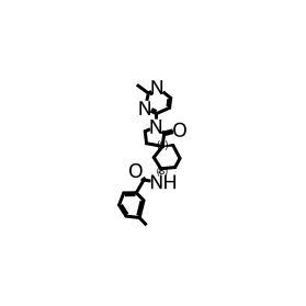 Cc1cccc(C(=O)N[C@H]2CCC[C@]3(CCN(c4ccnc(C)n4)C3=O)C2)c1